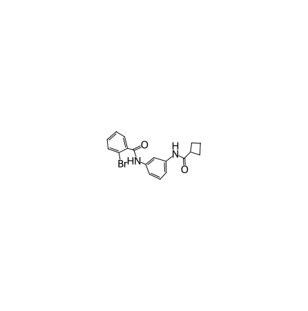 O=C(Nc1cccc(NC(=O)C2CCC2)c1)c1ccccc1Br